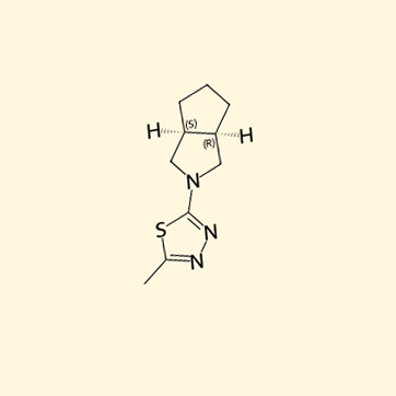 Cc1nnc(N2C[C@H]3CCC[C@H]3C2)s1